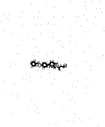 CC(CC=O)N1Cc2ccc(-c3ccc(OCc4ccccc4)cc3)nc2C1